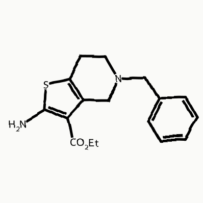 CCOC(=O)c1c(N)sc2c1CN(Cc1ccccc1)CC2